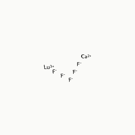 [Ca+2].[F-].[F-].[F-].[F-].[F-].[Lu+3]